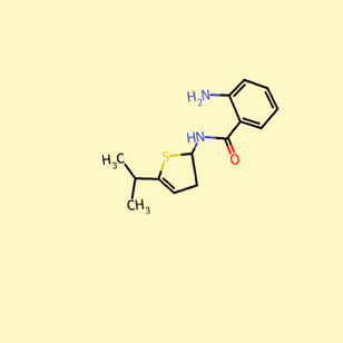 CC(C)C1=CCC(NC(=O)c2ccccc2N)S1